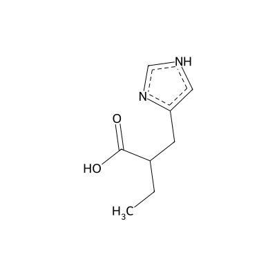 CCC(Cc1c[nH]cn1)C(=O)O